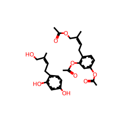 CC(=CCc1ccc(O)cc1O)CO.CC(=O)OCC(C)=CCc1ccc(OC(C)=O)cc1OC(C)=O